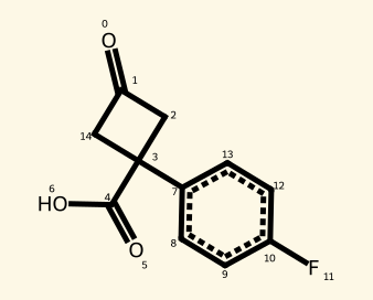 O=C1CC(C(=O)O)(c2ccc(F)cc2)C1